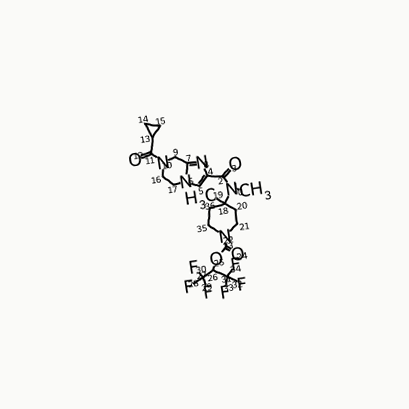 CN(C(=O)c1cn2c(n1)CN(C(=O)C1CC1)CC2)C1(C)CCN(C(=O)OC(C(F)(F)F)C(F)(F)F)CC1